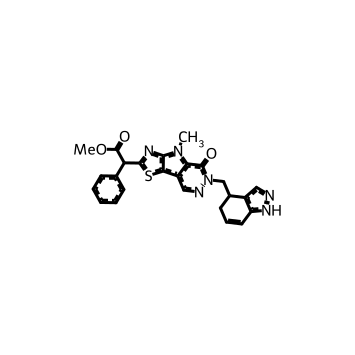 COC(=O)C(c1ccccc1)c1nc2c(s1)c1cnn(CC3CC=Cc4[nH]ncc43)c(=O)c1n2C